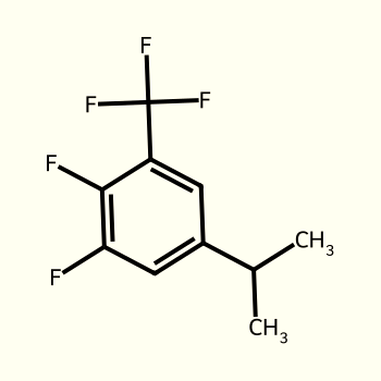 CC(C)c1cc(F)c(F)c(C(F)(F)F)c1